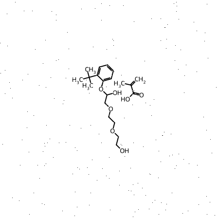 C=C(C)C(=O)O.CC(C)(C)c1ccccc1OC(O)COCCOCCO